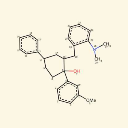 COc1cccc(C2(O)CCC(c3ccccc3)CC2Cc2ccccc2N(C)C)c1